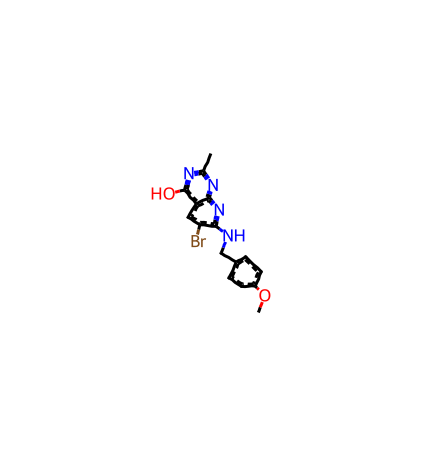 COc1ccc(CNc2nc3nc(C)nc(O)c3cc2Br)cc1